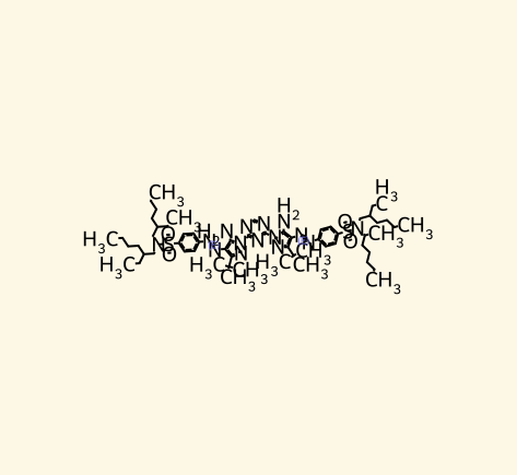 CCCCCC(C)N(CC(CC)CCCC)S(=O)(=O)c1ccc(/N=N/c2c(C(C)(C)C)nn(-c3ncnc(-n4nc(C(C)(C)C)c(/N=N/c5ccc(S(=O)(=O)N(CC(CC)CCCC)CC(CC)CCCC)cc5)c4N)n3)c2N)cc1